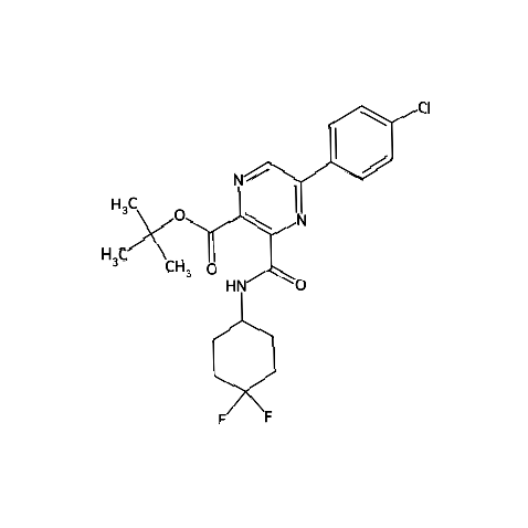 CC(C)(C)OC(=O)c1ncc(-c2ccc(Cl)cc2)nc1C(=O)NC1CCC(F)(F)CC1